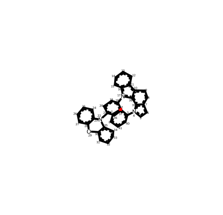 c1ccc(-n2ccc3ccc4c5ccccc5n(-c5ccc(N6c7ccccc7Oc7ccccc76)cc5)c4c32)cc1